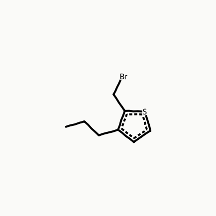 CCCc1ccsc1CBr